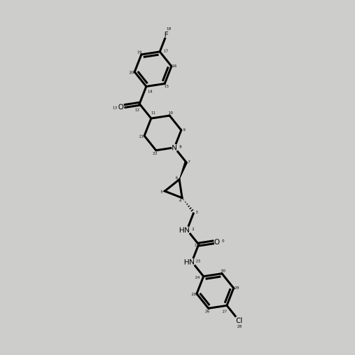 O=C(NC[C@@H]1C[C@H]1CN1CCC(C(=O)c2ccc(F)cc2)CC1)Nc1ccc(Cl)cc1